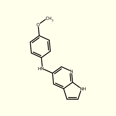 COc1ccc(Nc2cnc3[nH]ccc3c2)cc1